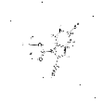 CC(C)(C)OC(=O)n1c(C#N)cc2cc(Br)ncc21